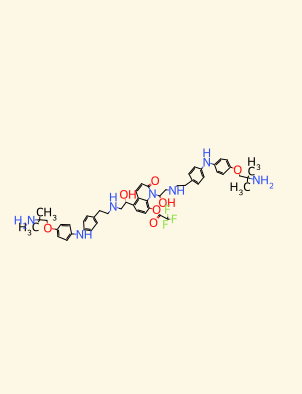 CC(C)(N)COc1ccc(Nc2ccc(CCNC[C@@H](O)n3c(=O)ccc4c([C@@H](O)CNCCc5ccc(Nc6ccc(OCC(C)(C)N)cc6)cc5)ccc(OC(=O)C(F)(F)F)c43)cc2)cc1